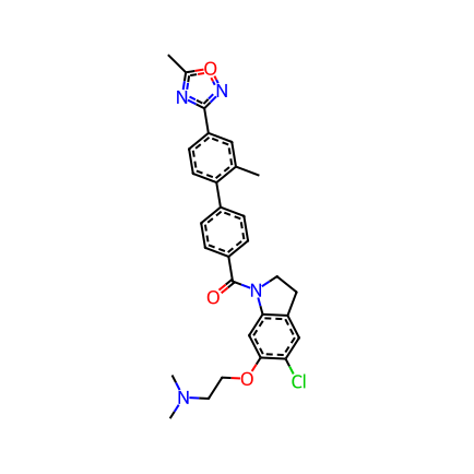 Cc1nc(-c2ccc(-c3ccc(C(=O)N4CCc5cc(Cl)c(OCCN(C)C)cc54)cc3)c(C)c2)no1